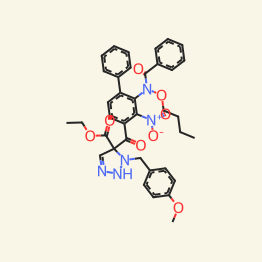 CCCCON(C(=O)c1ccccc1)c1c(-c2ccccc2)ccc(C(=O)C2(C(=O)OCC)C=NNN2Cc2ccc(OC)cc2)c1[N+](=O)[O-]